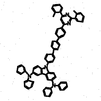 Cc1ccccc1-c1cc(-c2ccc(-c3ccc(-c4ccc(-n5c6ccc(N(c7ccccc7)c7ccccc7)cc6c6cc(N(c7ccccc7)c7ccccc7)ccc65)cc4)cc3)cc2)nc(-c2ccccc2C)n1